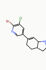 Clc1cc(C2=CC3NCCC3CC2)cnc1Br